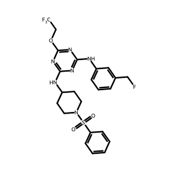 O=S(=O)(c1ccccc1)N1CCC(Nc2nc(Nc3cccc(CF)c3)nc(OCC(F)(F)F)n2)CC1